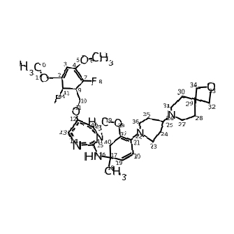 COC1=CC(OC)=C(F)C(COc2cnc(NC3(C)C=CC(N4CCC(N5CCC6(CC5)COC6)CC4)=C(OC)C3)nc2)C1F